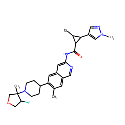 CCC1C(C(=O)Nc2cc3cc(C4CCN(C5(C)COCC5F)CC4)c(C)cc3cn2)C1c1cnn(C)c1